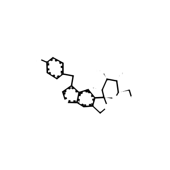 OC[C@H]1O[C@]2(OCc3cc4scc(Cc5ccc(C(F)(F)F)cc5)c4cc32)[C@H](O)[C@@H](O)[C@@H]1O